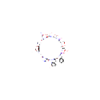 CC(C)C[C@H]1NCC(=O)NC(CN)C(=O)NNC(Cc2ccc(O)cc2)C(=O)N[C@@H](Cc2ccccc2)C(=O)NC(CC(=O)O)C(=O)N[C@@H](CC(=O)O)C(=O)NC(CO)C(=O)N[C@@H](CO)C(=O)NC(CC(N)=O)C(=O)N[C@@H](C(C)C)C(=O)C1=O